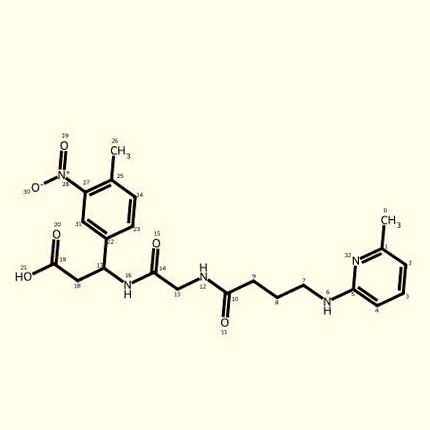 Cc1cccc(NCCCC(=O)NCC(=O)NC(CC(=O)O)c2ccc(C)c([N+](=O)[O-])c2)n1